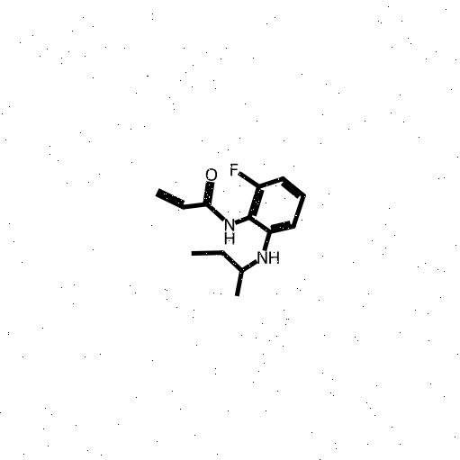 C=CC(=O)Nc1c(F)cccc1NC(C)CC